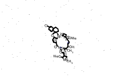 COc1nn(C)cc1C(=O)NC1[C@@H](C)[C@@H](O)/C=C/[C@H](OC)[C@@H]2CC[C@H]2CN2C[C@@]3(CCCc4cc(Cl)ccc43)COc3ccc(nc32)C(=O)/N=[SH]\1=O